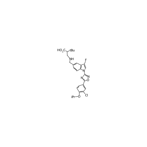 CC(C)Oc1ccc(-c2nc(-n3cc(F)c4cc(CNCC(C(=O)O)C(C)(C)C)ccc43)no2)cc1Cl